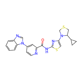 O=C(Nc1nc(N2CSCC2C2CC2)cs1)c1cc(-n2cnc3ccccc32)ccn1